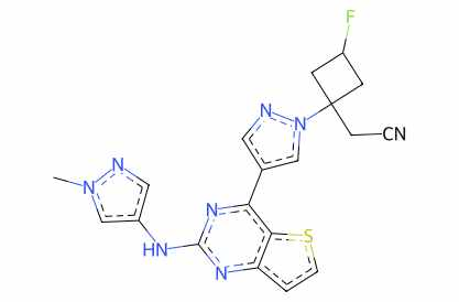 Cn1cc(Nc2nc(-c3cnn(C4(CC#N)CC(F)C4)c3)c3sccc3n2)cn1